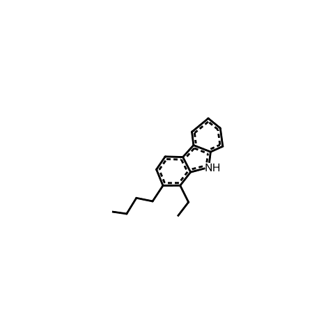 CCCCc1ccc2c([nH]c3ccccc32)c1CC